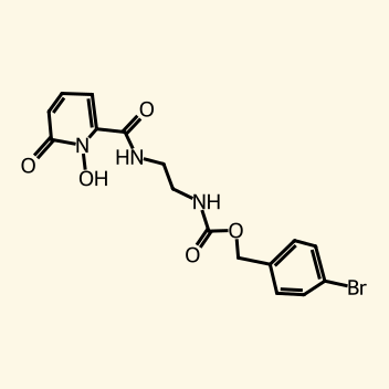 O=C(NCCNC(=O)c1cccc(=O)n1O)OCc1ccc(Br)cc1